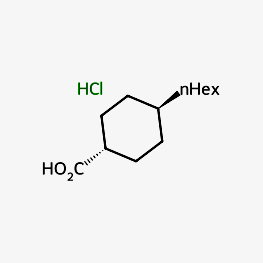 CCCCCC[C@H]1CC[C@H](C(=O)O)CC1.Cl